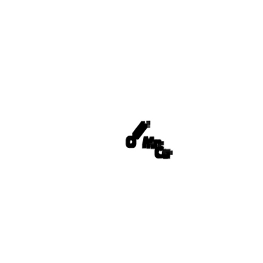 [C]=O.[Cu].[Mn]